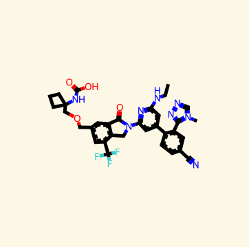 CCNc1cc(-c2ccc(C#N)cc2-c2nncn2C)cc(N2Cc3c(cc(COCC4(NC(=O)O)CCC4)cc3C(F)(F)F)C2=O)n1